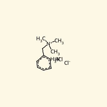 C[N+](C)(C)Cc1ccccc1.Cl.N.[Cl-]